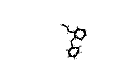 CC[CH]c1ccccc1Cc1ccccc1